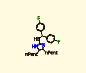 CCCCCc1nc(BC(c2ccc(F)cc2)c2ccc(F)cc2)[nH]c1CCCCC